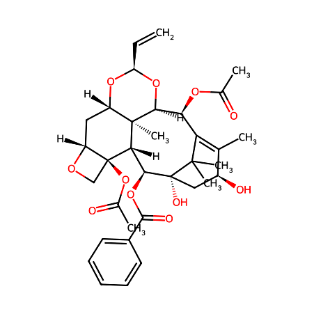 C=C[C@@H]1O[C@H]2C[C@H]3OC[C@@]3(OC(C)=O)[C@H]3[C@H](OC(=O)c4ccccc4)[C@]4(O)C[C@H](O)C(C)=C([C@H](OC(C)=O)[C@H](O1)[C@]23C)C4(C)C